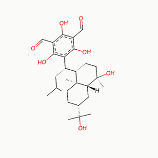 CC(C)C[C@H](c1c(O)c(C=O)c(O)c(C=O)c1O)[C@@H]1CC[C@@](C)(O)[C@@H]2C[C@H](C(C)(C)O)CC[C@]21C